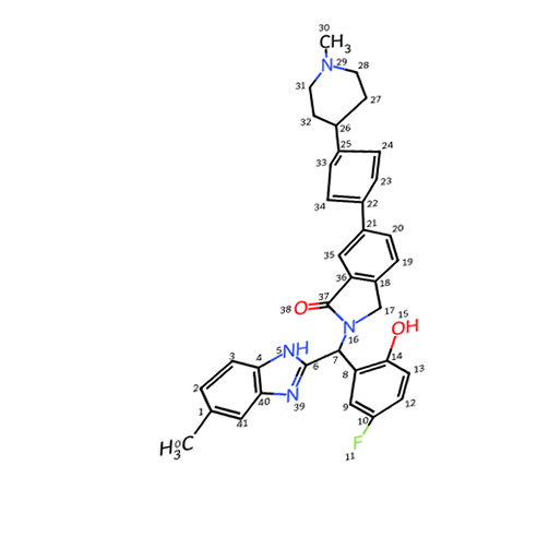 Cc1ccc2[nH]c(C(c3cc(F)ccc3O)N3Cc4ccc(-c5ccc(C6CCN(C)CC6)cc5)cc4C3=O)nc2c1